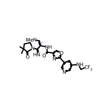 CN/C=C(/NC(=O)c1coc(-c2cncc(NCC(F)(F)F)c2)n1)C(=N)N1CCC(C)(C)C1=O